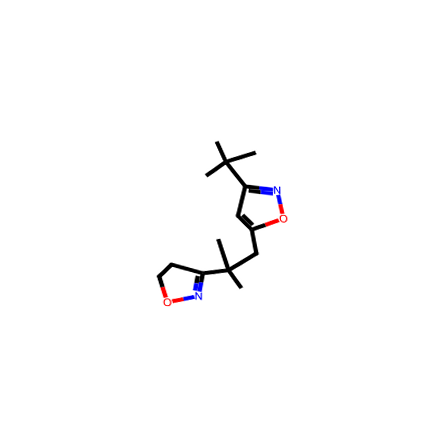 CC(C)(Cc1cc(C(C)(C)C)no1)C1=NOCC1